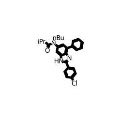 CCCCN(C(=O)C(C)C)c1cc(-c2ccccc2)c2nc(-c3ccc(Cl)cc3)[nH]c2c1